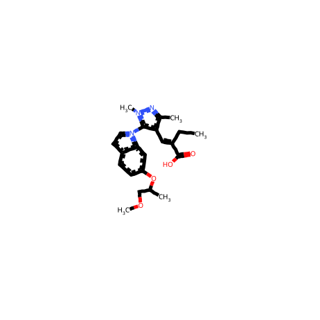 CCC(=Cc1c(C)nn(C)c1-n1ccc2ccc(OC(C)COC)cc21)C(=O)O